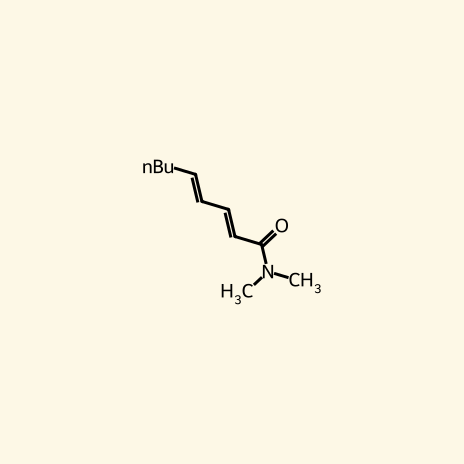 CCCC/C=C/C=C/C(=O)N(C)C